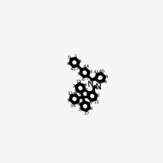 c1ccc(-c2ccc(-c3nc(-c4cccc5c4-c4ccccc4C5(c4ccccc4)c4ccccc4)nc4ccccc34)cc2)cc1